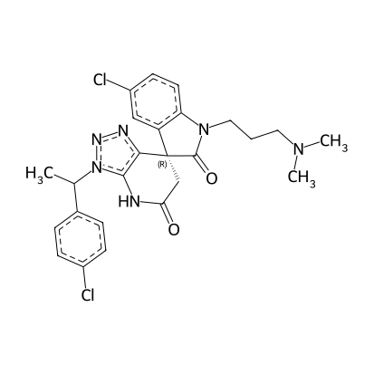 CC(c1ccc(Cl)cc1)n1nnc2c1NC(=O)C[C@]21C(=O)N(CCCN(C)C)c2ccc(Cl)cc21